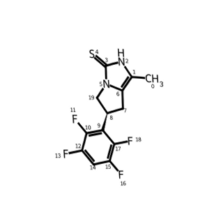 Cc1[nH]c(=S)n2c1C[C@@H](c1c(F)c(F)cc(F)c1F)C2